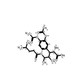 CC(=O)Oc1ccc(C(C(C)C(C)OC(=O)CCC(C)C)[C@H](N)C(=O)O)cc1OC(C)=O